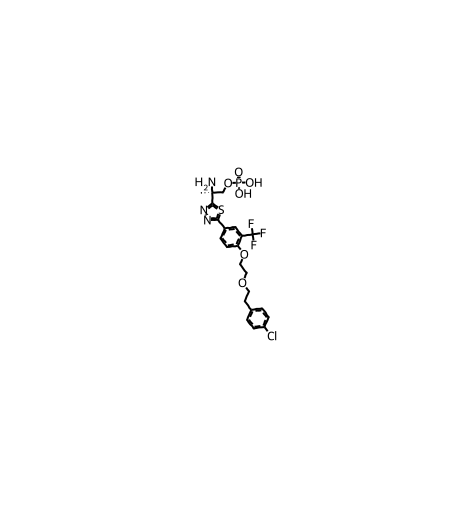 C[C@](N)(COP(=O)(O)O)c1nnc(-c2ccc(OCCOCCc3ccc(Cl)cc3)c(C(F)(F)F)c2)s1